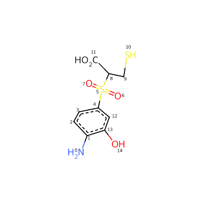 Nc1ccc(S(=O)(=O)C(CS)C(=O)O)cc1O